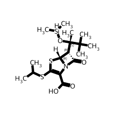 CC(C)SC1=C(C(=O)O)N2C(=O)[C@@H]([C@](C)(O[SiH](C)C)C(C)(C)C)[C@H]2S1